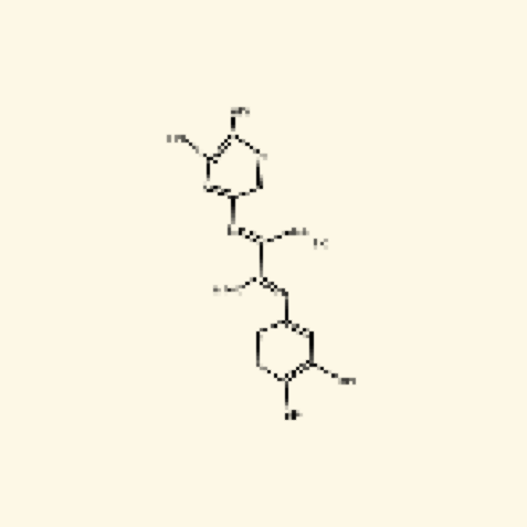 CCCCCCC(=N\c1ccc(CCC)c(CCC)c1)/C(CCCC)=N/c1ccc(CCC)c(CCC)c1.[Pd]